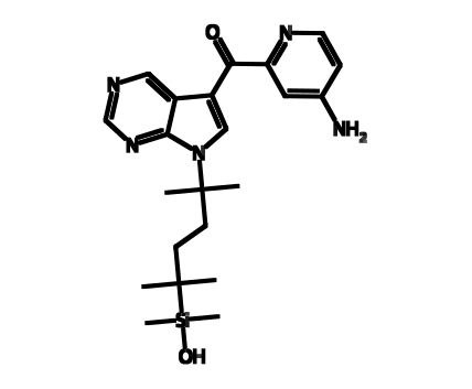 CC(C)(CCC(C)(C)[Si](C)(C)O)n1cc(C(=O)c2cc(N)ccn2)c2cncnc21